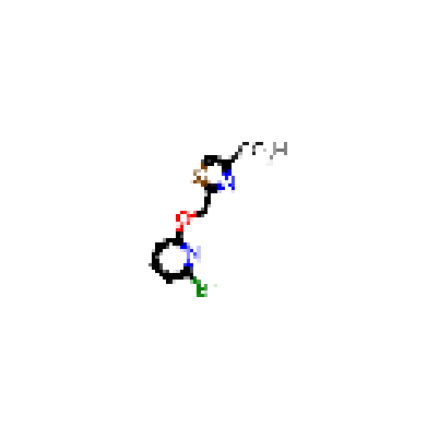 O=C(O)c1csc(COc2cccc(Br)n2)n1